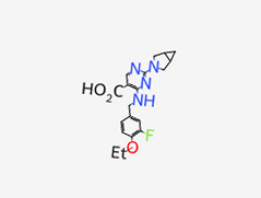 CCOc1ccc(CNc2nc(N3CC4CC4C3)ncc2C(=O)O)cc1F